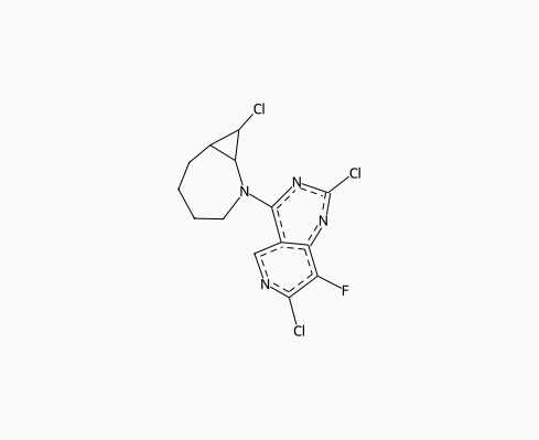 Fc1c(Cl)ncc2c(N3CCCCC4C(Cl)C43)nc(Cl)nc12